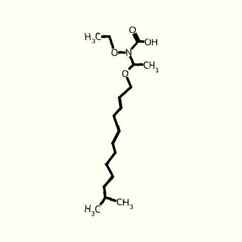 CCON(C(=O)O)C(C)OCCCCCCCCCCC(C)C